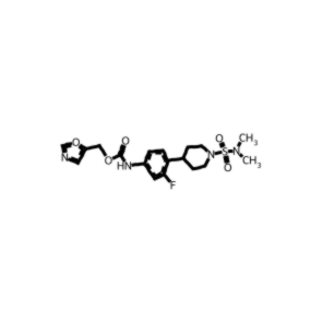 CN(C)S(=O)(=O)N1CCC(c2ccc(NC(=O)OCc3cnco3)cc2F)CC1